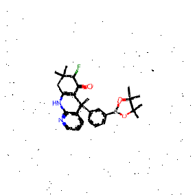 CC1(c2cccc(B3OC(C)(C)C(C)(C)O3)c2)C2=C(CC(C)(C)C(F)C2=O)Nc2ncccc21